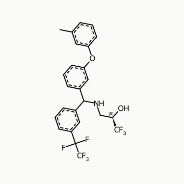 Cc1cccc(Oc2cccc(C(NC[C@@H](O)C(F)(F)F)c3cccc(C(F)(F)C(F)(F)F)c3)c2)c1